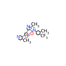 Cc1ccncc1-c1cc(-c2cnn3c2C(=O)N(c2ccc(C(F)(F)F)c(C)c2)C[C@@H]3C)no1